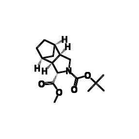 COC(=O)[C@@H]1[C@H]2[C@H]3CC[C@H](C3)[C@H]2CN1C(=O)OC(C)(C)C